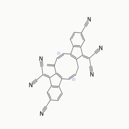 C=C1/C=C\C2=C(C/C=C\C3=C1C(=C(C#N)C#N)c1cc(C#N)ccc13)C(=C(C#N)C#N)c1cc(C#N)ccc12